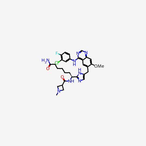 COc1cc2ncnc(Nc3ccc(F)c(Cl)c3)c2cc1Cc1cnc([C@H](CCCCCC(N)=O)NC(=O)C2CN(C)C2)[nH]1